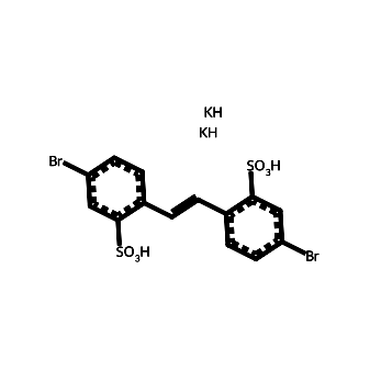 O=S(=O)(O)c1cc(Br)ccc1/C=C/c1ccc(Br)cc1S(=O)(=O)O.[KH].[KH]